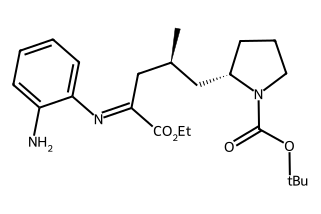 CCOC(=O)/C(C[C@@H](C)C[C@@H]1CCCN1C(=O)OC(C)(C)C)=N/c1ccccc1N